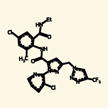 CCNC(=O)c1cc(Cl)cc(C)c1NC(=O)c1cc(Cn2cc(C(F)(F)F)nn2)nn1-c1ncccc1Cl